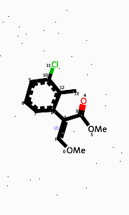 CO/C=C(\C(=O)OC)c1cccc(Cl)c1C